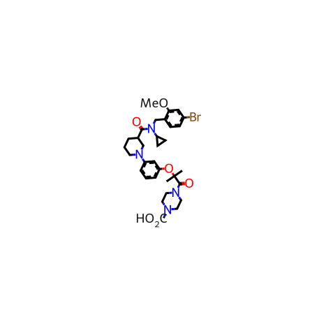 COc1cc(Br)ccc1CN(C(=O)C1CCCN(c2cccc(OC(C)(C)C(=O)N3CCN(C(=O)O)CC3)c2)C1)C1CC1